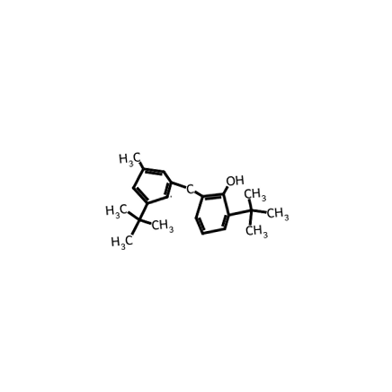 Cc1cc(Cc2cccc(C(C)(C)C)c2O)[c]c(C(C)(C)C)c1